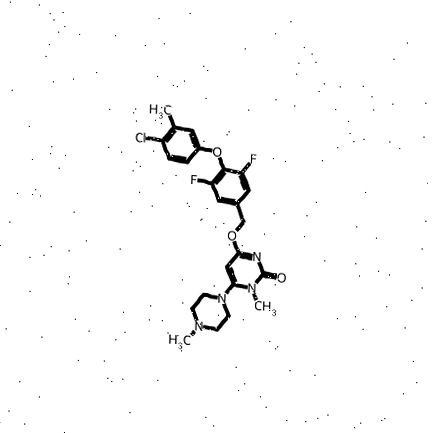 Cc1cc(Oc2c(F)cc(COc3cc(N4CCN(C)CC4)n(C)c(=O)n3)cc2F)ccc1Cl